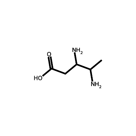 CC(N)C(N)CC(=O)O